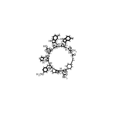 COc1ccc(C[C@@H]2NC(=O)[C@H](Cc3cnc[nH]3)NC(=O)[C@H](CC(=O)O)NC(=O)[C@H](Cc3c[nH]c4ccc(F)cc34)NC(=O)[C@H](Cc3c[nH]c4ccc(F)cc34)NC(=O)[C@H](C)NC(=O)CCC3CCN(CC3)C(=O)[C@H](CC(N)=O)NC(=O)[C@]3(C)CCCN3C2=O)cc1